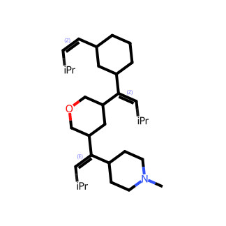 CC(C)/C=C\C1CCCC(/C(=C/C(C)C)C2COCC(/C(=C/C(C)C)C3CCN(C)CC3)C2)C1